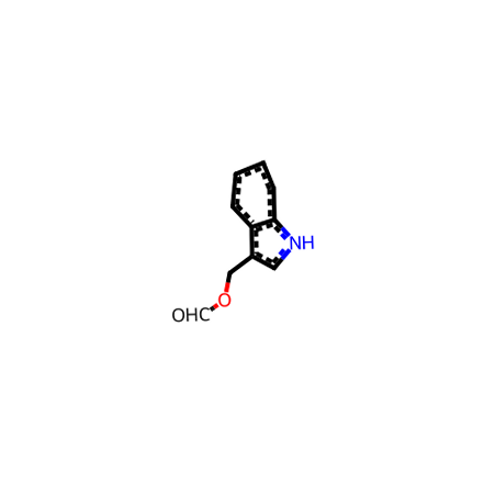 O=COCc1c[nH]c2ccccc12